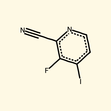 N#Cc1nccc(I)c1F